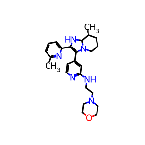 Cc1cccc(C2=C(c3ccnc(NCCN4CCOCC4)c3)N3CCC[C@H](C)C3N2)n1